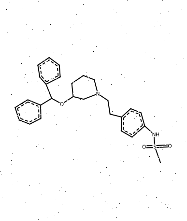 CS(=O)(=O)Nc1ccc(CCN2CCCC(OC(c3ccccc3)c3ccccc3)C2)cc1